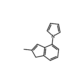 CC1=Cc2c(cccc2-n2cccc2)C1